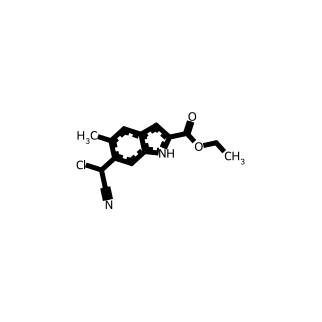 CCOC(=O)c1cc2cc(C)c(C(Cl)C#N)cc2[nH]1